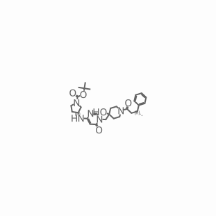 C[C@H](CC(=O)N1CCC(O)(Cn2cnc(N[C@@H]3CCN(C(=O)OC(C)(C)C)C3)cc2=O)CC1)c1ccccc1